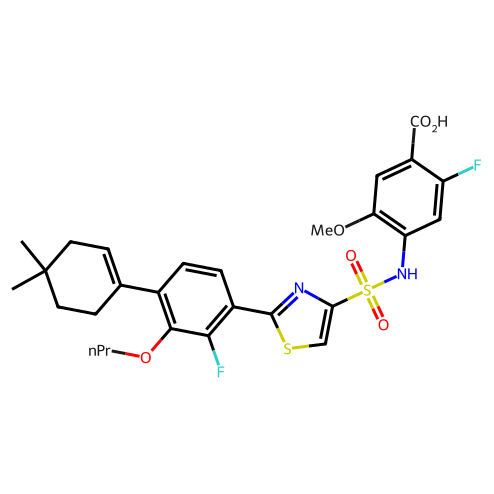 CCCOc1c(C2=CCC(C)(C)CC2)ccc(-c2nc(S(=O)(=O)Nc3cc(F)c(C(=O)O)cc3OC)cs2)c1F